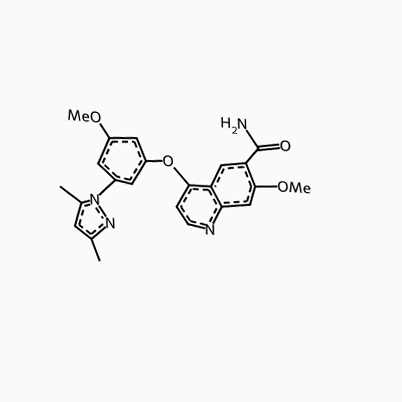 COc1cc(Oc2ccnc3cc(OC)c(C(N)=O)cc23)cc(-n2nc(C)cc2C)c1